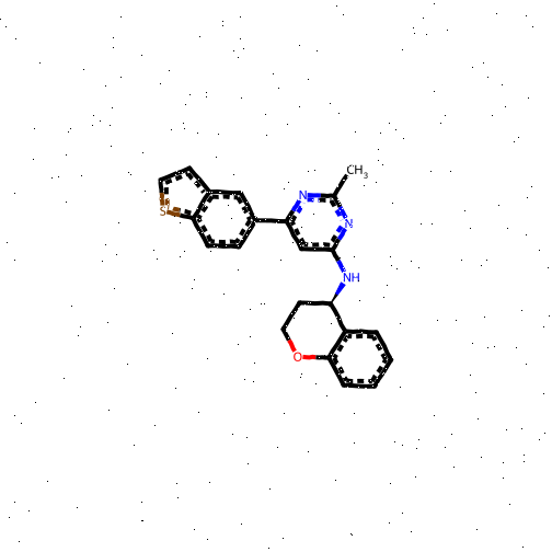 Cc1nc(N[C@@H]2CCOc3ccccc32)cc(-c2ccc3sccc3c2)n1